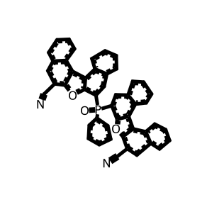 N#Cc1cc2ccccc2c2c1oc1c(P(=O)(c3ccccc3)c3cc4ccccc4c4c3oc3c(C#N)cc5ccccc5c34)cc3ccccc3c12